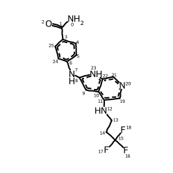 NC(=O)c1ccc(Nc2cc3c(NCCC(F)(F)F)cncc3[nH]2)cc1